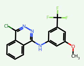 COc1cc(Nc2nnc(Cl)c3ccccc23)cc(C(F)(F)F)c1